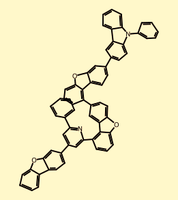 c1ccc(-c2cc(-c3ccc4c(c3)oc3ccccc34)cc(-c3cccc4oc5ccc(-c6cccc7oc8cc(-c9ccc%10c(c9)c9ccccc9n%10-c9ccccc9)ccc8c67)cc5c34)n2)cc1